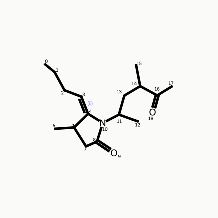 CCC/C=C1\C(C)CC(=O)N1C(C)CC(C)C(C)=O